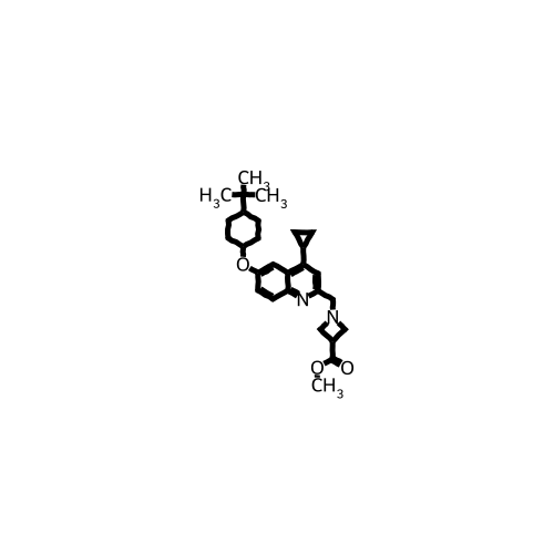 COC(=O)C1CN(Cc2cc(C3CC3)c3cc(OC4CCC(C(C)(C)C)CC4)ccc3n2)C1